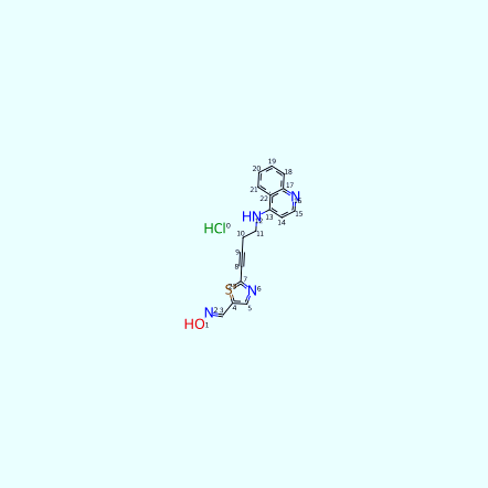 Cl.ON=Cc1cnc(C#CCCNc2ccnc3ccccc23)s1